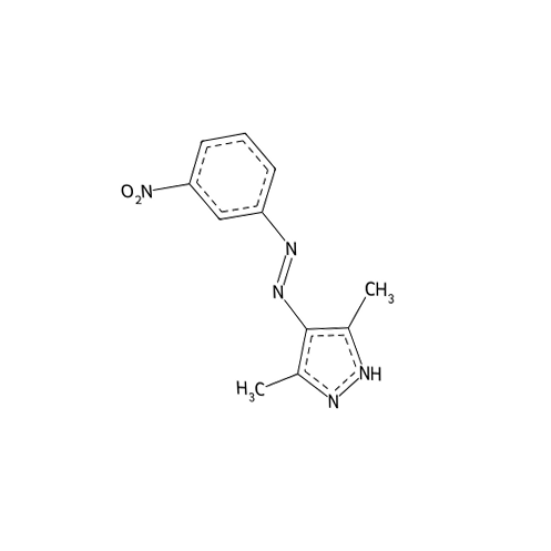 Cc1n[nH]c(C)c1N=Nc1cccc([N+](=O)[O-])c1